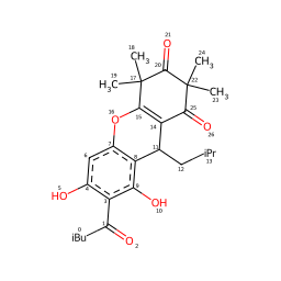 CCC(C)C(=O)c1c(O)cc2c(c1O)C(CC(C)C)C1=C(O2)C(C)(C)C(=O)C(C)(C)C1=O